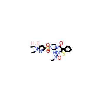 Bc1cc(S(=O)(=O)N2CCN(C(=O)c3c(NC(=O)NCC)sc4ccccc34)CC2)cnc1N(CC)CC